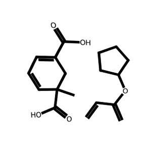 C=CC(=C)OC1CCCC1.CC1(C(=O)O)C=CC=C(C(=O)O)C1